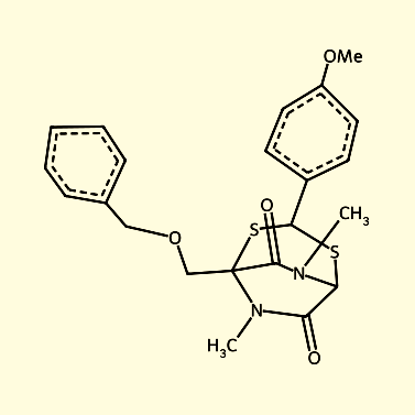 COc1ccc(C2SC3C(=O)N(C)C(COCc4ccccc4)(S2)C(=O)N3C)cc1